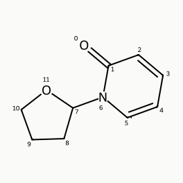 O=c1ccc[c]n1C1CCCO1